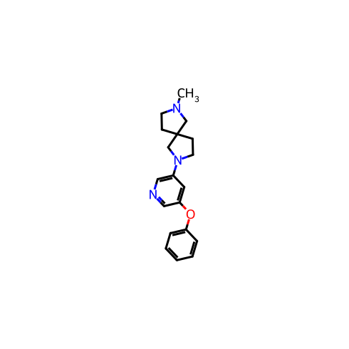 CN1CCC2(CCN(c3cncc(Oc4ccccc4)c3)C2)C1